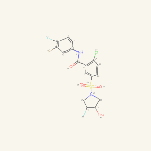 O=C(Nc1ccc(F)c(Br)c1)c1cc(S(=O)(=O)N2CC(O)C(F)C2)ccc1Cl